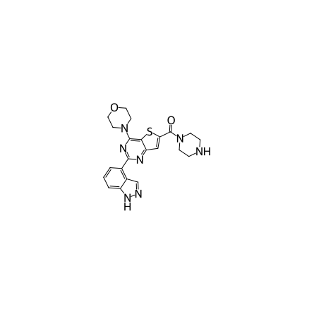 O=C(c1cc2nc(-c3cccc4[nH]ncc34)nc(N3CCOCC3)c2s1)N1CCNCC1